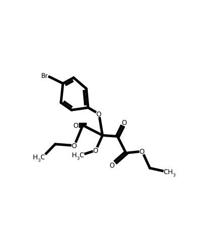 CCOC(=O)C(=O)C(OC)(Oc1ccc(Br)cc1)C(=O)OCC